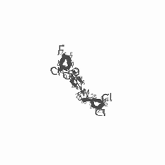 O=S(=O)(c1ccc(F)cc1Cl)N1CCN(c2nc(-c3cc(Cl)cc(Cl)c3)cs2)CC1